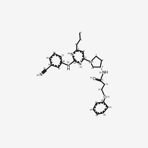 CCCc1cc(N2CC[C@H](NC(=O)CCOc3ccccc3)C2)nc(Nc2cccc(C#N)c2)n1